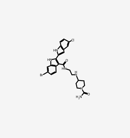 NC(=O)N1CCC(NCCNC(=O)c2c(-c3cc4cc(Cl)ccc4[nH]3)[nH]c3cc(Br)ccc23)CC1